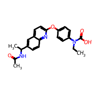 CCN(C(=O)O)c1ccc(Oc2ccc3cc(C(C)NC(C)=O)ccc3n2)cc1